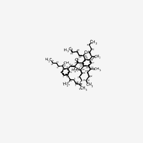 CCCCC(C)c1ccc(C(C)CCCC)c(C=C(O)C(=O)c2c(C(C)CCCC)c(C(C)CCCC)cc(C(C)CCCC)c2C(C)CCCC)c1